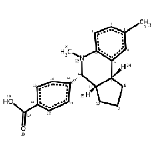 Cc1ccc2c(c1)[C@@H]1CCC[C@@H]1[C@H](c1ccc(C(=O)O)cc1)N2C